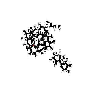 CCC[NH2+]C.Fc1c(F)c(F)c2[c]([Al-]([c]3c(F)c(F)c(F)c4c(F)c(F)c(F)c(F)c34)([c]3c(F)c(F)c(F)c4c(F)c(F)c(F)c(F)c34)[c]3c(F)c(F)c(F)c4c(F)c(F)c(F)c(F)c34)c(F)c(F)c(F)c2c1F.Fc1ccc(-c2c(F)c(F)c(F)c(F)c2F)c(F)c1F